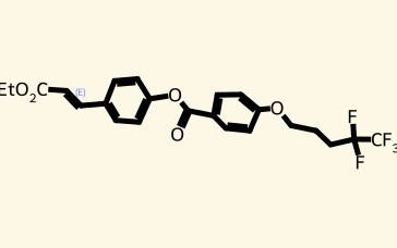 CCOC(=O)/C=C/c1ccc(OC(=O)c2ccc(OCCCC(F)(F)C(F)(F)F)cc2)cc1